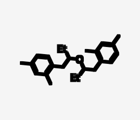 CCC(Cc1ccc(C)cc1C)OC(CC)Cc1ccc(C)cc1C